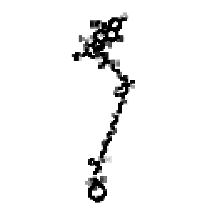 CCCC1O[C@@H]2CC3[C@@H]4C[C@H](F)C5=CC(=O)C=C[C@]5(F)C4[C@@H](O)C[C@]3(C)[C@]2(C(=O)COC(=O)NCCSSC(C)(C)CC(=O)NCCOCCOCCOCCNC(=O)OC[C@@H]2[C@@H]3CCC#CCC[C@@H]32)O1